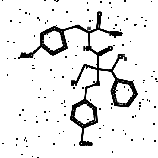 CNC(=O)[C@H](Cc1ccc(OC)cc1)NC(=O)C(CC(C)C)(SCc1ccc(OC)cc1)C(c1ccccc1)C(F)(F)F